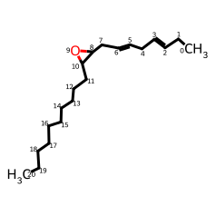 CCC=CCC=CCC1OC1CCCCCCCCCC